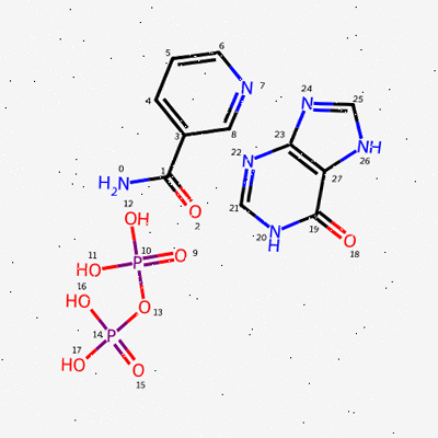 NC(=O)c1cccnc1.O=P(O)(O)OP(=O)(O)O.O=c1[nH]cnc2nc[nH]c12